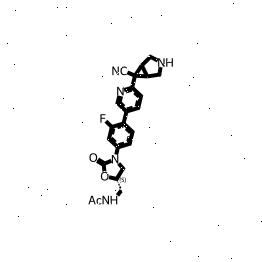 CC(=O)NC[C@H]1CN(c2ccc(-c3ccc(C4(C#N)C5CNCC54)nc3)c(F)c2)C(=O)O1